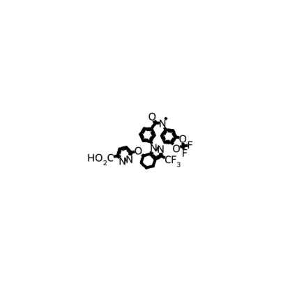 CN(C(=O)c1cccc(-n2nc(C(F)(F)F)c3c2C(Oc2ccc(C(=O)O)nn2)CCC3)c1)c1ccc2c(c1)OC(F)(F)O2